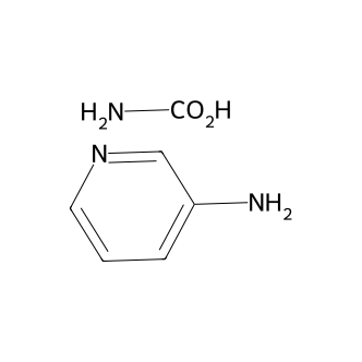 NC(=O)O.Nc1cccnc1